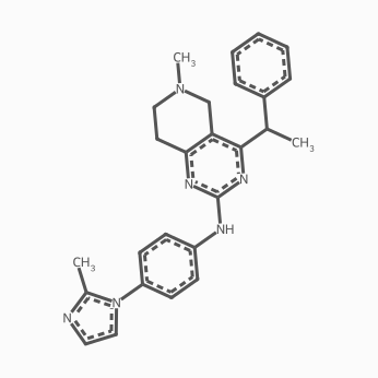 Cc1nccn1-c1ccc(Nc2nc3c(c(C(C)c4ccccc4)n2)CN(C)CC3)cc1